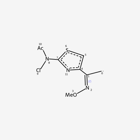 [CH2]/C(=N/OC)c1csc(N(Cl)C(C)=O)n1